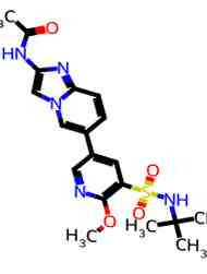 COc1ncc(-c2ccc3nc(NC(C)=O)cn3c2)cc1S(=O)(=O)NC(C)(C)C